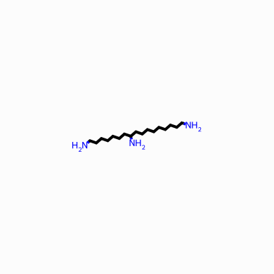 NCCCCCCCCCC(N)CCCCCCCN